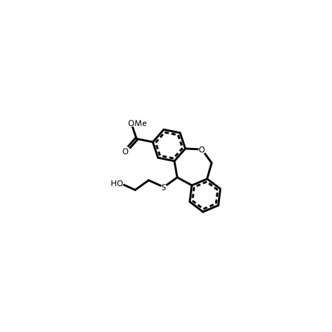 COC(=O)c1ccc2c(c1)C(SCCO)c1ccccc1CO2